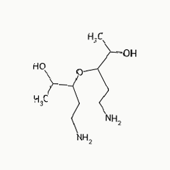 CC(O)C(CCN)OC(CCN)C(C)O